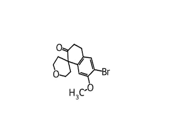 COc1cc2c(cc1Br)CCC(=O)C21CCOCC1